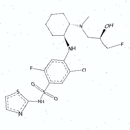 CN(C[C@@H](O)CF)[C@H]1CCCC[C@@H]1Nc1cc(F)c(S(=O)(=O)Nc2nccs2)cc1Cl